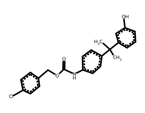 CC(C)(c1ccc(NC(=O)OCc2ccc(Cl)cc2)cc1)c1cccc(O)c1